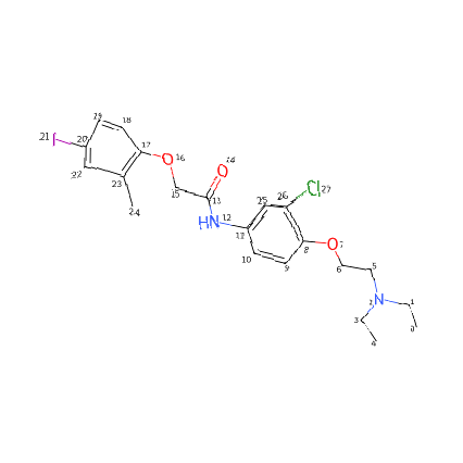 CCN(CC)CCOc1ccc(NC(=O)COc2ccc(I)cc2C)cc1Cl